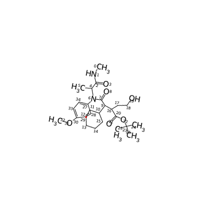 CNC(=O)C(C)N(C(=O)C(C1CCCCC1)C(CCO)C(=O)OC(C)(C)C)c1ccc(OC)cc1